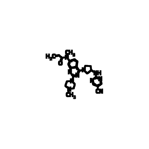 C=CC(=O)N(C)c1ccc2c(N3CCC(Nc4ncc(C#N)cn4)C3)nc(N3CCN(C)CC3)nc2c1